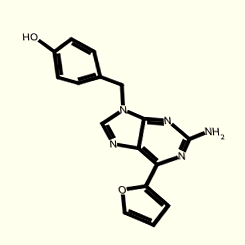 Nc1nc(-c2ccco2)c2ncn(Cc3ccc(O)cc3)c2n1